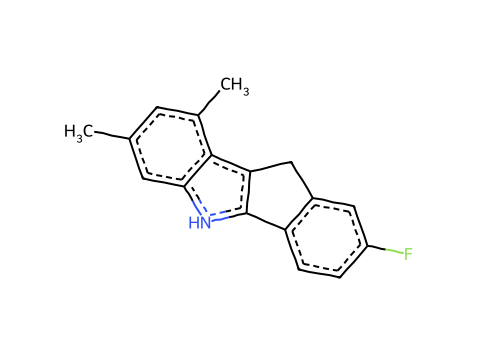 Cc1cc(C)c2c3c([nH]c2c1)-c1ccc(F)cc1C3